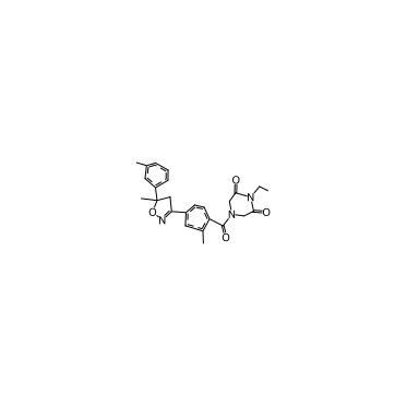 CCN1C(=O)CN(C(=O)c2ccc(C3=NOC(C)(c4cccc(C)c4)C3)cc2C)CC1=O